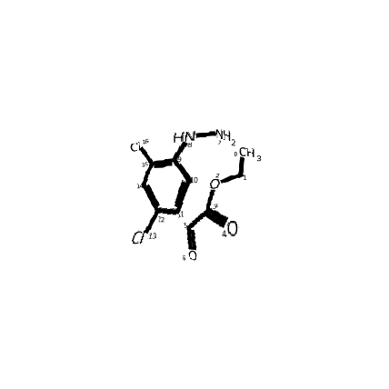 CCOC(=O)C=O.NNc1ccc(Cl)cc1Cl